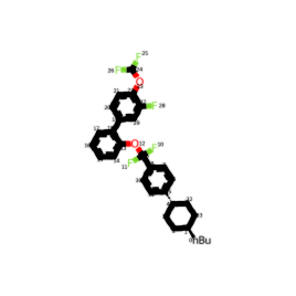 CCCC[C@H]1CC[C@H](c2ccc(C(F)(F)Oc3ccccc3-c3ccc(OC(F)F)c(F)c3)cc2)CC1